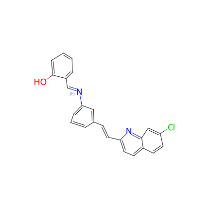 Oc1ccccc1/C=N/c1cccc(C=Cc2ccc3ccc(Cl)cc3n2)c1